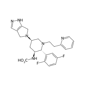 O=C(O)N[C@H]1C[C@@H](N2Cc3cn[nH]c3C2)CN(CCc2ccccn2)[C@@H]1c1cc(F)ccc1F